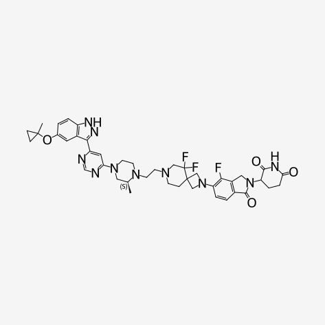 C[C@H]1CN(c2cc(-c3n[nH]c4ccc(OC5(C)CC5)cc34)ncn2)CCN1CCN1CCC2(CN(c3ccc4c(c3F)CN(C3CCC(=O)NC3=O)C4=O)C2)C(F)(F)C1